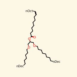 CCCCCCCC/C=C\CCCCCCCC(=O)OC(COCCCCCCCCCCCCCCCC)COCCCCCCCCCCCCCCCCCC